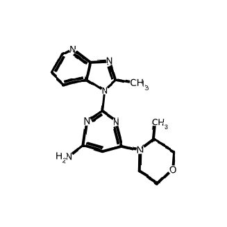 Cc1nc2ncccc2n1-c1nc(N)cc(N2CCOCC2C)n1